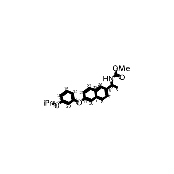 COC(=O)NC(C)c1ccc2cc(Oc3cccc(OC(C)C)c3)ccc2c1